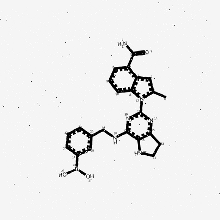 Cc1cc2c(C(N)=O)cccc2n1-c1nc2c(c(NCc3cccc(B(O)O)c3)n1)NCC2